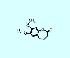 COc1cc2c(cc1OC)SC(=O)CCC2